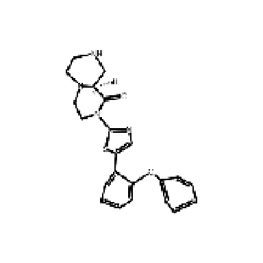 O=C1[C@@H]2CNCCN2CCN1c1ncc(-c2ccccc2Oc2ccccc2)s1